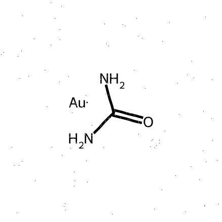 NC(N)=O.[Au]